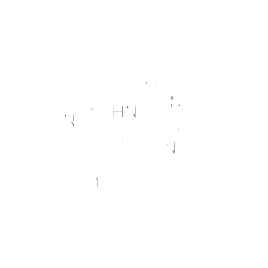 N#C[C@@H]1CCCN1C(=O)CNC(=O)c1ccnc2ccc(I)cc12